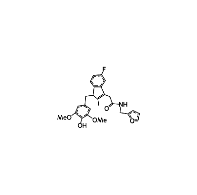 COc1cc(CC2C(C)=C(CC(=O)NCc3ccco3)c3cc(F)ccc32)cc(OC)c1O